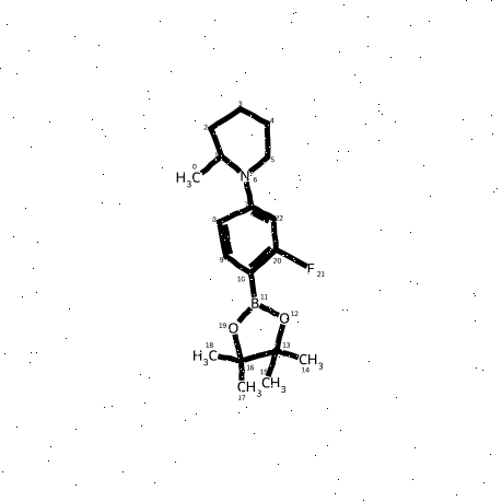 CC1CCCCN1c1ccc(B2OC(C)(C)C(C)(C)O2)c(F)c1